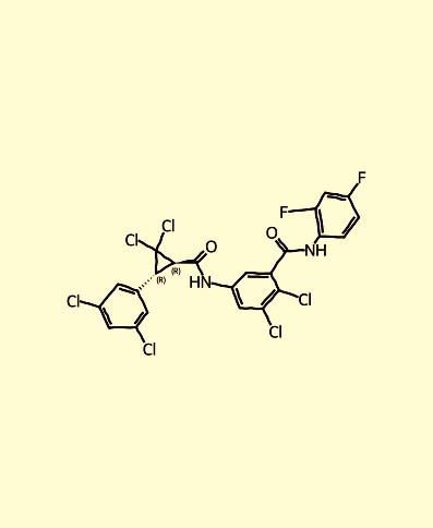 O=C(Nc1ccc(F)cc1F)c1cc(NC(=O)[C@H]2[C@H](c3cc(Cl)cc(Cl)c3)C2(Cl)Cl)cc(Cl)c1Cl